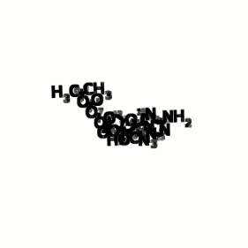 CC(C)OC(=O)OCOP1(=O)OCC2O[C@@](C#N)(c3cnc4c(N)ncnn34)[C@](C)(O)[C@@H]2O1